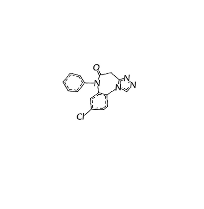 O=C1Cc2nncn2-c2ccc(Cl)cc2N1c1ccccc1